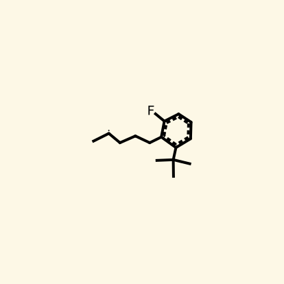 C[CH]CCCc1c(F)cccc1C(C)(C)C